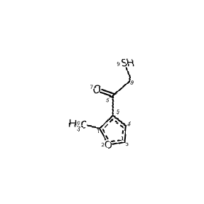 Cc1occc1C(=O)CS